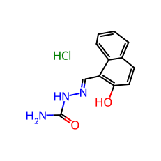 Cl.NC(=O)N/N=C/c1c(O)ccc2ccccc12